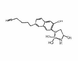 N#CCCCCc1ccc2cc(O)c(N3CC(O)NS3(O)O)cc2c1